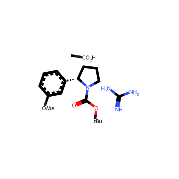 CC(=O)O.COc1cccc([C@@H]2CCCN2C(=O)OC(C)(C)C)c1.N=C(N)N